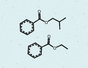 CC(C)COC(=O)c1ccccc1.CCOC(=O)c1ccccc1